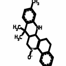 Cc1ccc2c(c1)NC1C3=C(c4ccccc4CC3)[S+]([O-])CC1C2(C)C